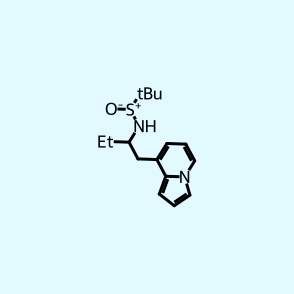 CCC(Cc1cccn2cccc12)N[S+]([O-])C(C)(C)C